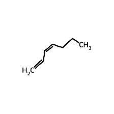 C=C/C=C\CCC